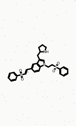 O=S(=O)(/C=C/c1ccc2c(c1)c(CC1CCCN1)cn2CCS(=O)(=O)c1ccccc1)c1ccccc1